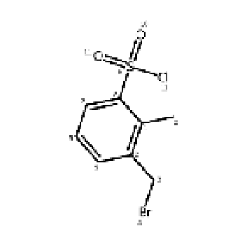 Cc1c(CBr)cccc1S(=O)(=O)Cl